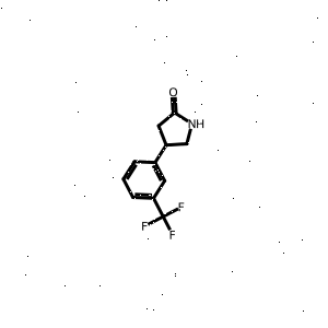 O=C1CC(c2cccc(C(F)(F)F)c2)CN1